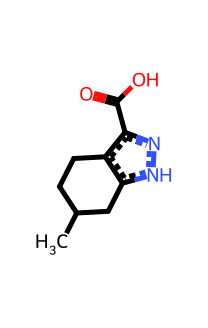 CC1CCc2c(C(=O)O)n[nH]c2C1